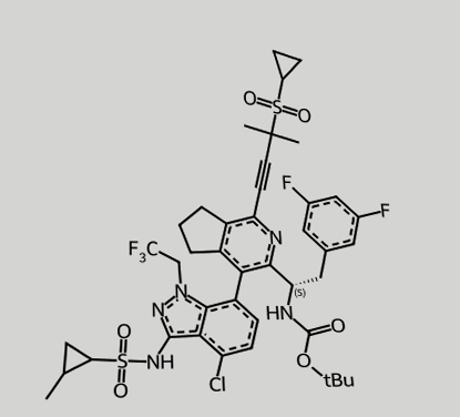 CC1CC1S(=O)(=O)Nc1nn(CC(F)(F)F)c2c(-c3c([C@H](Cc4cc(F)cc(F)c4)NC(=O)OC(C)(C)C)nc(C#CC(C)(C)S(=O)(=O)C4CC4)c4c3CCC4)ccc(Cl)c12